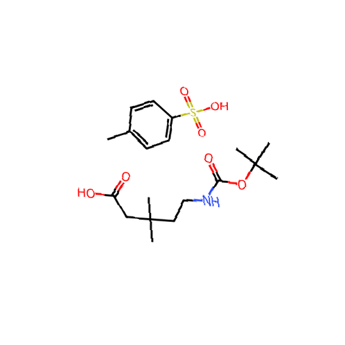 CC(C)(CCNC(=O)OC(C)(C)C)CC(=O)O.Cc1ccc(S(=O)(=O)O)cc1